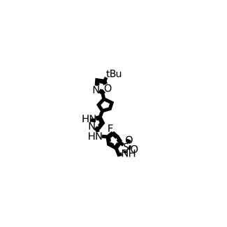 CC(C)(C)c1cnc(C2CCC(c3cc(Nc4cc5c(cc4F)S(=O)(=O)NC5)n[nH]3)C2)o1